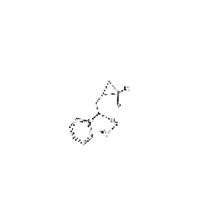 CCC(CC1CP1(=O)CC)[n+]1ccccc1.O=C([O-])O